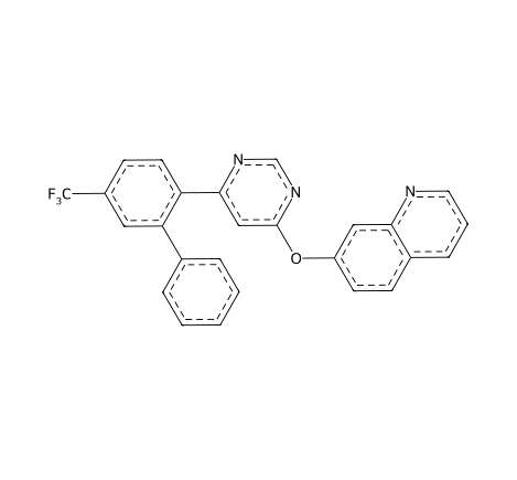 FC(F)(F)c1ccc(-c2cc(Oc3ccc4cccnc4c3)ncn2)c(-c2ccccc2)c1